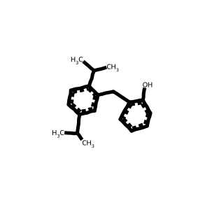 CC(C)c1ccc(C(C)C)c(Cc2ccccc2O)c1